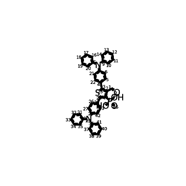 O=Cc1c(-c2ccc(N(c3ccccc3)c3ccccc3)cc2)sc(-c2ccc(N(c3ccccc3)c3ccccc3)cc2)c1P(=O)(O)O